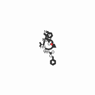 CC(C)[C@@H]1NC(=O)[C@@H](NC(=O)OCc2ccccc2)Cc2ccc3c(c2)[C@@]2(c4ccccc4NC2O3)c2oc1nc2-c1cnco1